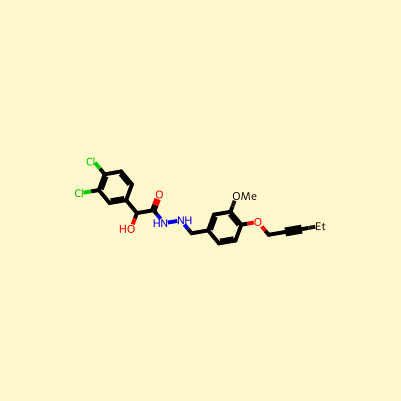 CCC#CCOc1ccc(CNNC(=O)C(O)c2ccc(Cl)c(Cl)c2)cc1OC